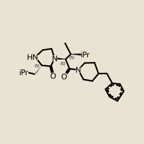 CC(C)C[C@@H]1NCCN([C@H](C(=O)N2CCC(Cc3ccccc3)CC2)[C@@H](C)C(C)C)C1=O